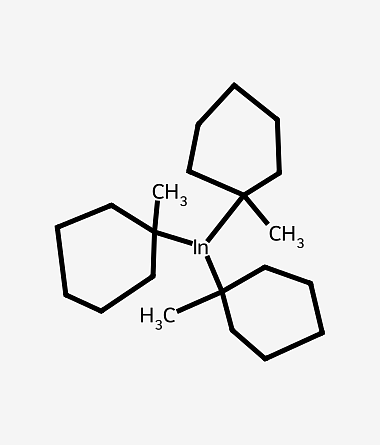 C[C]1([In]([C]2(C)CCCCC2)[C]2(C)CCCCC2)CCCCC1